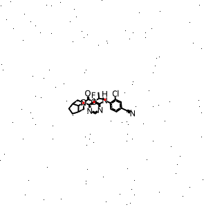 CC(C)OC(=O)N1CC2CCC(C1)C2Oc1ncnc(Nc2ccc(C#N)cc2Cl)c1F